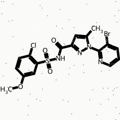 COc1ccc(Cl)c(S(=O)(=O)NC(=O)c2cc(C)n(-c3ncccc3Br)n2)c1